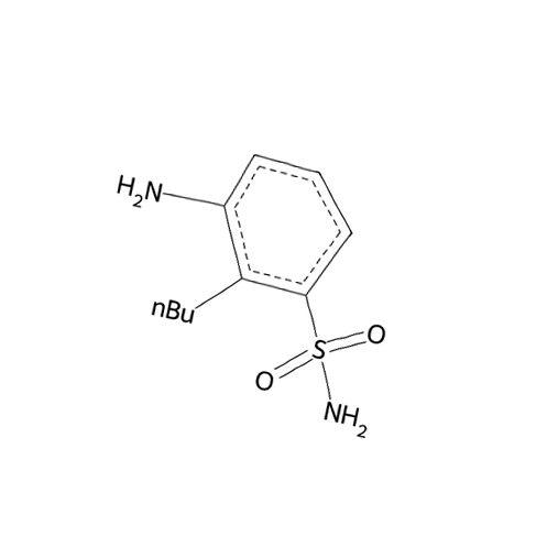 CCCCc1c(N)cccc1S(N)(=O)=O